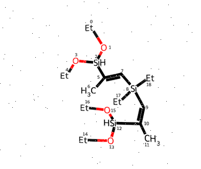 CCO[SiH](OCC)C(C)=C[Si](C=C(C)[SiH](OCC)OCC)(CC)CC